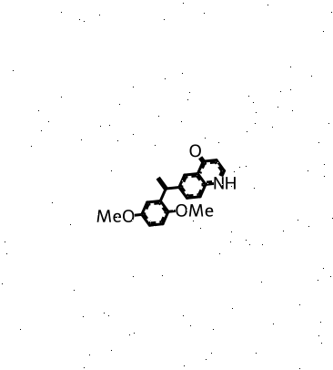 C=C(c1ccc2[nH]ccc(=O)c2c1)c1cc(OC)ccc1OC